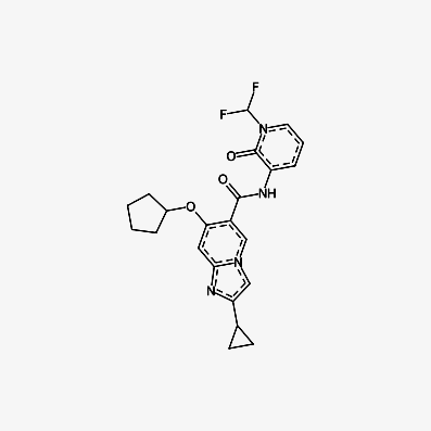 O=C(Nc1cccn(C(F)F)c1=O)c1cn2cc(C3CC3)nc2cc1OC1CCCC1